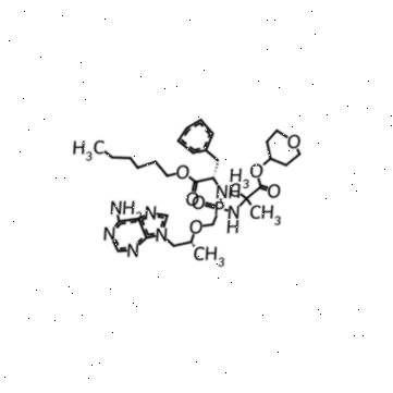 CCCCCCOC(=O)[C@H](Cc1ccccc1)NP(=O)(CO[C@H](C)Cn1cnc2c(N)ncnc21)NC(C)(C)C(=O)OC1CCOCC1